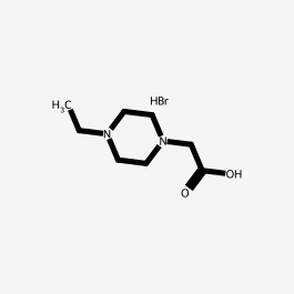 Br.CCN1CCN(CC(=O)O)CC1